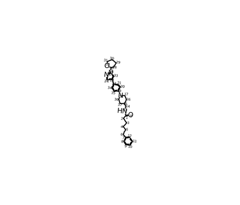 O=C(CCCCCc1ccccc1)NCC1CCN(c2ccc(-c3cnn(C4CCCCO4)c3)cc2)CC1